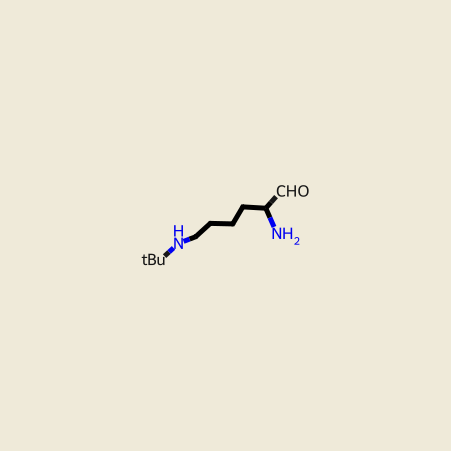 CC(C)(C)NCCCCC(N)C=O